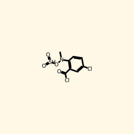 CN(O[SH](=O)=O)c1ccc(Cl)cc1C(=O)Cl